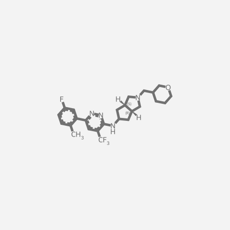 Cc1ccc(F)cc1-c1cc(C(F)(F)F)c(NC2C[C@@H]3CN(CC4CCCOC4)C[C@@H]3C2)nn1